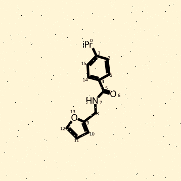 CC(C)c1ccc(C(=O)NCc2ccco2)cc1